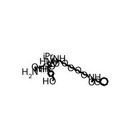 CC(C)[C@H](NC(=O)CCOCCOCCOCCOCCNC(=O)COC1/C=C\CCCCC1)C(=O)N[C@@H](CCCNC(N)=O)C(=O)Nc1ccc(CO)cc1